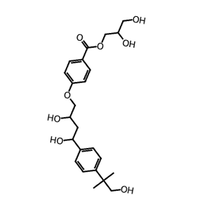 CC(C)(CO)c1ccc(C(O)CC(O)COc2ccc(C(=O)OCC(O)CO)cc2)cc1